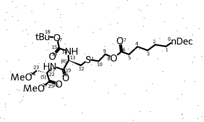 CCCCCCCCCCCCCCCC(=O)OCCSC[C@H](NC(=O)OC(C)(C)C)C(=O)N[C@@H](COC)C(=O)OC